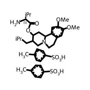 COc1cc2c(cc1OC)C1CC(OC(=O)[C@@H](N)C(C)C)C(CC(C)C)CN1CC2.Cc1ccc(S(=O)(=O)O)cc1.Cc1ccc(S(=O)(=O)O)cc1